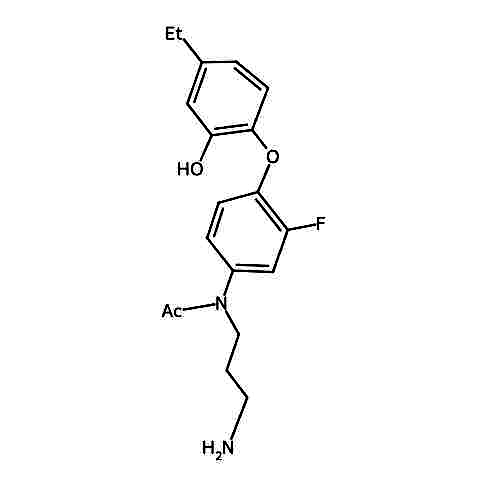 CCc1ccc(Oc2ccc(N(CCCN)C(C)=O)cc2F)c(O)c1